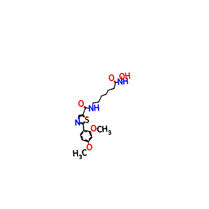 COc1ccc(-c2ncc(C(=O)NCCCCCCC(=O)NO)s2)c(OC)c1